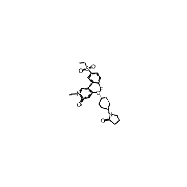 CCS(=O)(=O)c1ccc(F)c(-c2cn(C)c(=O)cc2O[C@H]2CC[C@H](N3CCCC3=O)CC2)c1